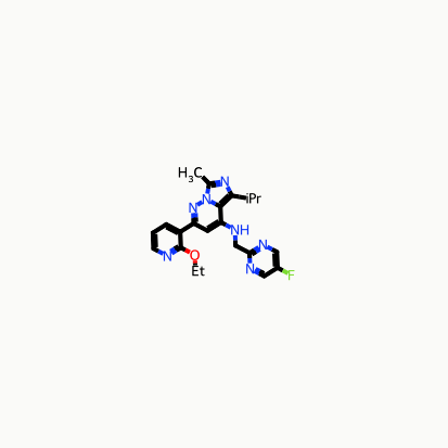 CCOc1ncccc1-c1cc(NCc2ncc(F)cn2)c2c(C(C)C)nc(C)n2n1